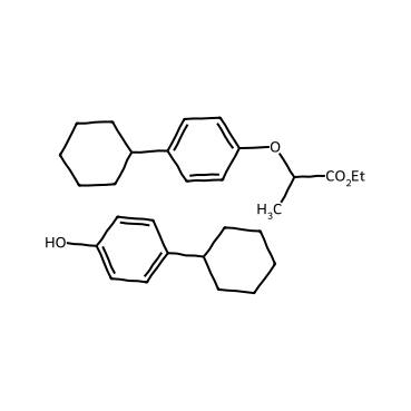 CCOC(=O)C(C)Oc1ccc(C2CCCCC2)cc1.Oc1ccc(C2CCCCC2)cc1